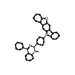 CN1c2ccccc2C(c2ccccc2)=NC1c1ccc(-n2c3ccccc3c3cc4oc5ccccc5c4cc32)cc1